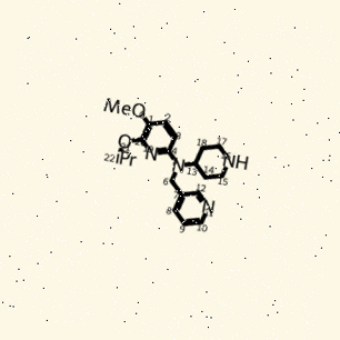 COc1ccc(N(Cc2cccnc2)C2CCNCC2)nc1OC(C)C